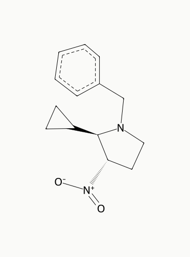 O=[N+]([O-])[C@H]1CCN(Cc2ccccc2)[C@@H]1C1CC1